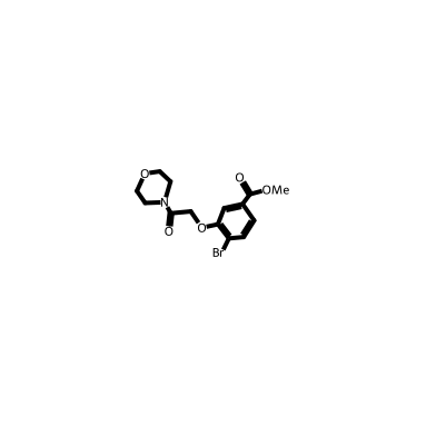 COC(=O)c1ccc(Br)c(OCC(=O)N2CCOCC2)c1